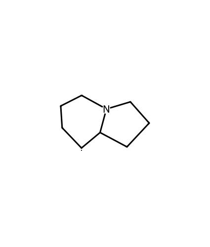 [CH]1CCCN2CCCC12